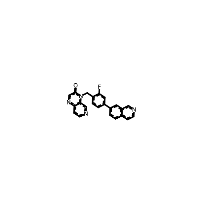 O=c1cnc2ccncc2n1Cc1ccc(-c2ccc3ccncc3c2)cc1F